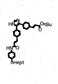 CCCCCCCc1ccc(NC(=O)/C=C/c2ccc(-c3[nH]cnc3-c3ccc(/C=C/C(=O)OC(C)(C)C)cc3)cc2)cc1